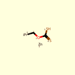 CC(C)COC(=S)S.[Zn]